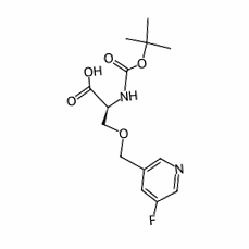 CC(C)(C)OC(=O)N[C@@H](COCc1cncc(F)c1)C(=O)O